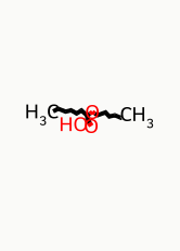 CCCCCCOC(CCCCCC)C(=O)O